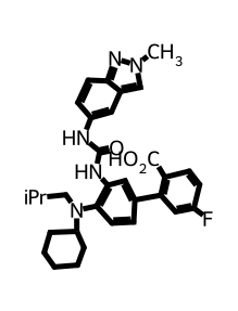 CC(C)CN(c1ccc(-c2cc(F)ccc2C(=O)O)cc1NC(=O)Nc1ccc2nn(C)cc2c1)C1CCCCC1